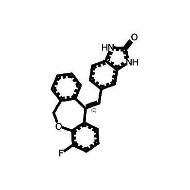 O=c1[nH]c2ccc(/C=C3\c4ccccc4COc4c(F)cccc43)cc2[nH]1